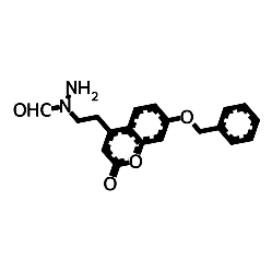 NN(C=O)CCc1cc(=O)oc2cc(OCc3ccccc3)ccc12